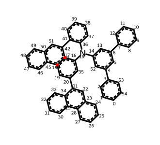 c1ccc(-c2cc(-c3ccccc3)cc(N(c3cccc(-c4cc5ccccc5c5ccccc45)c3)c3ccccc3-c3ccc4ccccc4c3)c2)cc1